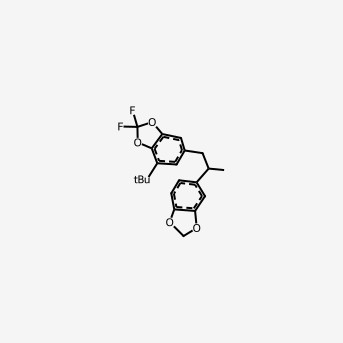 CC(Cc1cc2c(c(C(C)(C)C)c1)OC(F)(F)O2)c1ccc2c(c1)OCO2